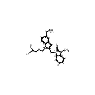 Cn1c(=O)n(Cc2cc3cc(CN)ccc3n2CCCC(F)F)c2cnccc21